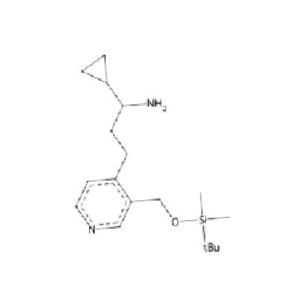 CC(C)(C)[Si](C)(C)OCc1cnccc1CCC(N)C1CC1